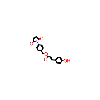 O=C(/C=C/c1ccc(O)cc1)OCc1ccc(N2C(=O)C=CC2=O)cc1